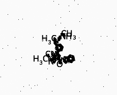 CNCCN(C)Cc1cccc(-c2cc(C(=O)N3Cc4ccccc4C3)c3cnn(C(C)C)c3n2)c1